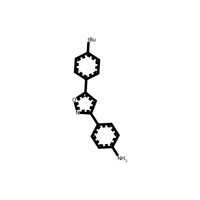 CC(C)(C)c1ccc(-c2cc(-c3ccc(N)cc3)no2)cc1